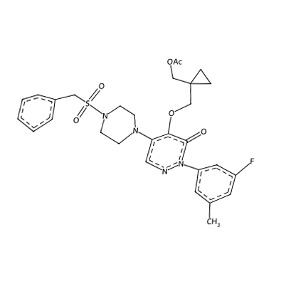 CC(=O)OCC1(COc2c(N3CCN(S(=O)(=O)Cc4ccccc4)CC3)cnn(-c3cc(C)cc(F)c3)c2=O)CC1